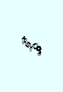 CC(C)OC(=S)N1CCN(C(=S)N2CCSc3ccc(C=O)cc3C2)CC1